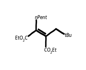 CCCCCC(C(=O)OCC)=C(CC(C)(C)C)C(=O)OCC